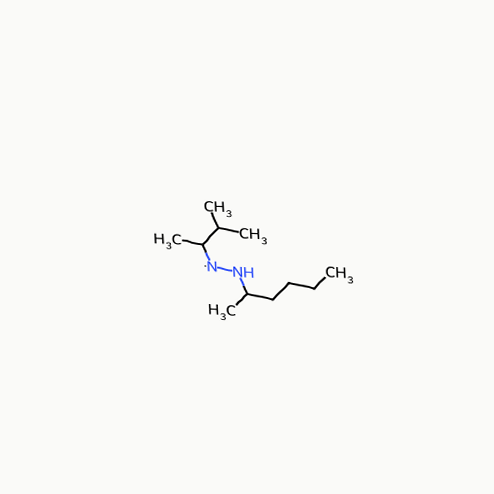 CCCCC(C)N[N]C(C)C(C)C